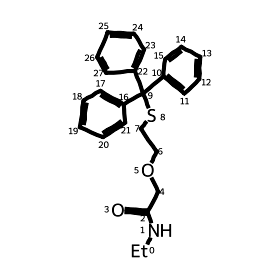 CCNC(=O)COCCSC(c1ccccc1)(c1ccccc1)c1ccccc1